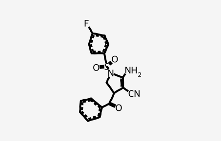 N#CC1=C(N)N(S(=O)(=O)c2ccc(F)cc2)CC1C(=O)c1ccccc1